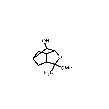 COC1(C)OC2C(O)C3CC2C1C3